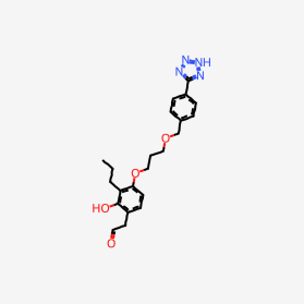 CCCc1c(OCCCOCc2ccc(-c3nn[nH]n3)cc2)ccc(CC=O)c1O